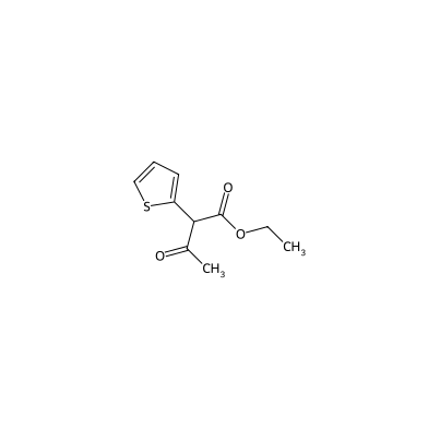 CCOC(=O)C(C(C)=O)c1cccs1